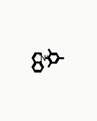 Cc1cc(C)c(-[n+]2cccc3ccccc32)c(C)c1